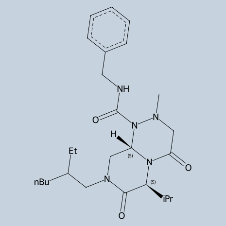 CCCCC(CC)CN1C[C@H]2N(C(=O)CN(C)N2C(=O)NCc2ccccc2)[C@@H](C(C)C)C1=O